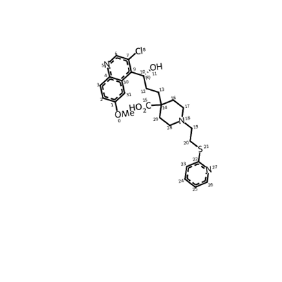 COc1ccc2ncc(Cl)c([C@H](O)CCC3(C(=O)O)CCN(CCSc4ccccn4)CC3)c2c1